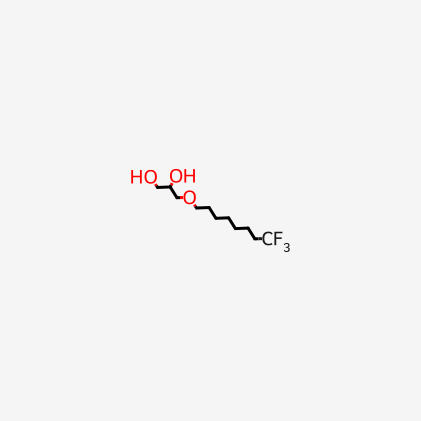 OCC(O)COCCCCCCCC(F)(F)F